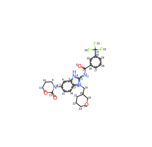 O=C(/N=c1\[nH]c2cc(N3CCCOC3=O)ccc2n1CC1CCCOC1)c1cccc(C(F)(F)F)c1